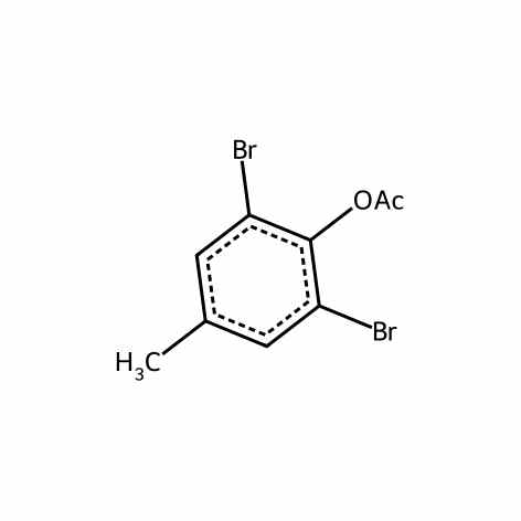 CC(=O)Oc1c(Br)cc(C)cc1Br